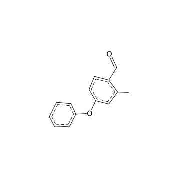 Cc1cc(Oc2ccccc2)ccc1C=O